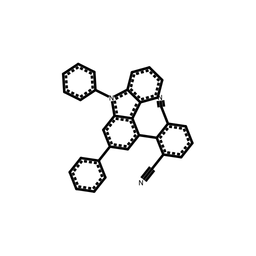 N#Cc1cccc(C#N)c1-c1cc(-c2ccccc2)cc2c1c1ccccc1n2-c1ccccc1